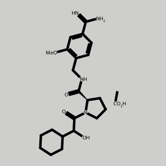 CC(=O)O.COc1cc(C(=N)N)ccc1CNC(=O)[C@H]1CCCN1C(=O)C(O)C1CCCCC1